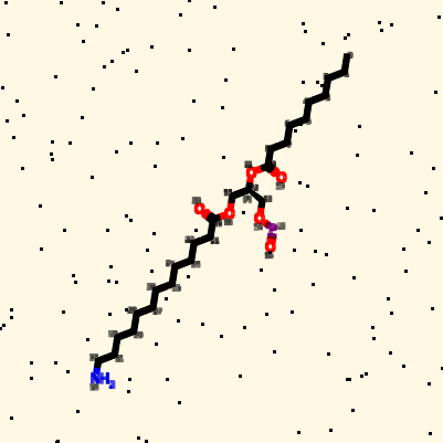 CCCCCCCCCC(=O)O[C@@H](COP=O)COC(=O)CCCCCCCCCCCCN